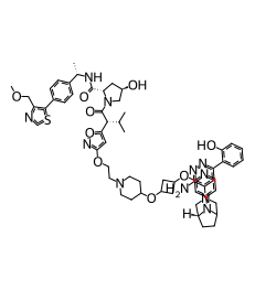 COCc1ncsc1-c1ccc([C@H](C)NC(=O)[C@@H]2C[C@@H](O)CN2C(=O)[C@@H](c2cc(OCCN3CCC(OC4CC(Oc5cc(N6C7CC[C@@H]6CN(c6cc(-c8ccccc8O)nnc6N)C7)ccn5)C4)CC3)no2)C(C)C)cc1